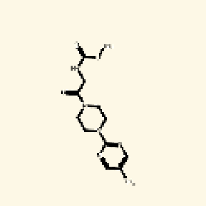 CC(C)(C)OC(=O)NCC(=O)N1CCN(c2ncc(C(F)(F)F)cn2)CC1